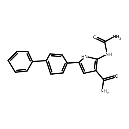 NC(=O)Nc1[nH]c(-c2ccc(-c3ccccc3)cc2)cc1C(N)=O